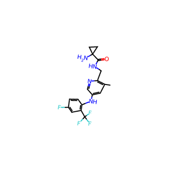 Cc1cc(Nc2ccc(F)cc2C(F)(F)F)cnc1CNC(=O)C1(N)CC1